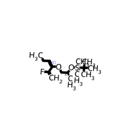 C=C(F)/C(=C\CC)OC[C@H](C)O[Si](C)(C)C(C)(C)C